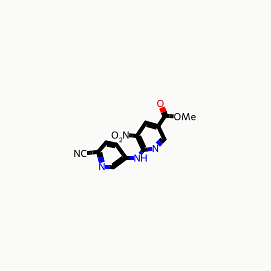 COC(=O)c1cnc(Nc2ccc(C#N)nc2)c([N+](=O)[O-])c1